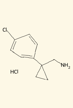 Cl.NCC1(c2ccc(Cl)cc2)CC1